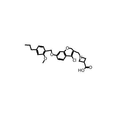 CCCc1ccc(COc2ccc3c(c2)OCC(CN2CC(C(=O)O)C2)=C3Cl)c(OC)c1